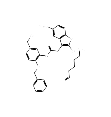 CCCCCC=O.COc1ccc2[nH]c(C)c(CC(=O)Nc3cc(CO)ccc3OCc3ccccc3)c2c1